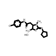 CC1SC(=NC2CCCC2)N(C)C1CC(=O)Nc1ccc(Cl)cc1.Cl